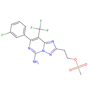 CS(=O)(=O)OCCc1nc2c(C(F)(F)F)c(-c3cccc(F)c3)nc(N)n2n1